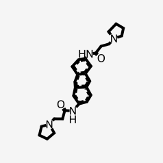 O=C(CCN1CCCC1)Nc1ccc2cc3cc(NC(=O)CCN4CCCC4)ccc3cc2c1